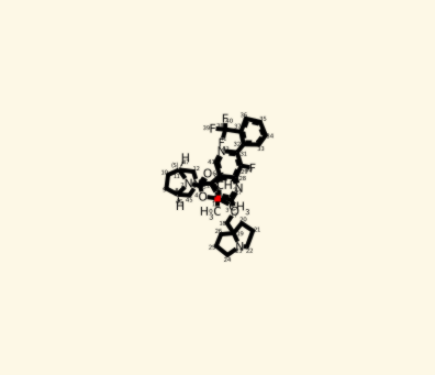 CC(C)(C)OC(=O)N1[C@@H]2CC[C@H]1CN(c1nc(OCC34CCCN3CCC4)nc3c(F)c(-c4ccccc4C(F)(F)F)ncc13)C2